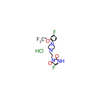 Cl.O=c1[nH]cc(F)c(=O)n1CCCN1CCN(c2ccc(F)cc2OCC(F)(F)F)CC1